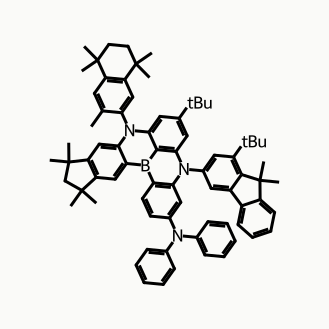 Cc1cc2c(cc1N1c3cc4c(cc3B3c5ccc(N(c6ccccc6)c6ccccc6)cc5N(c5cc6c(c(C(C)(C)C)c5)C(C)(C)c5ccccc5-6)c5cc(C(C)(C)C)cc1c53)C(C)(C)CC4(C)C)C(C)(C)CCC2(C)C